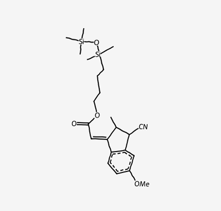 COc1ccc2c(c1)C(C#N)C(C)C2=CC(=O)OCCCC[Si](C)(C)O[Si](C)(C)C